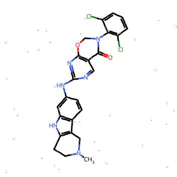 CN1CCc2[nH]c3cc(Nc4ncc5c(n4)OCN(c4c(Cl)cccc4Cl)C5=O)ccc3c2C1